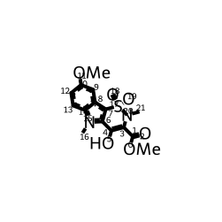 COC(=O)C1=C(O)c2c(c3cc(OC)ccc3n2C)S(=O)(=O)N1C